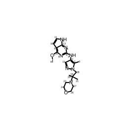 Cc1c(Nc2nc(OI)c3cc[nH]c3n2)cnn1CC(C)(C)N1CCOCC1